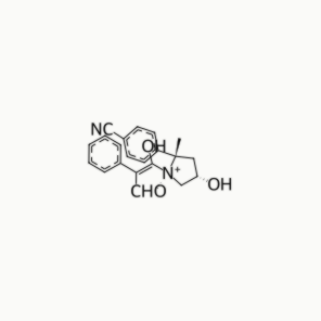 C[C@@]1(c2ccc(C#N)cc2)C[C@H](O)C[N@@+]1(C)/C(O)=C(\C=O)c1ccccc1